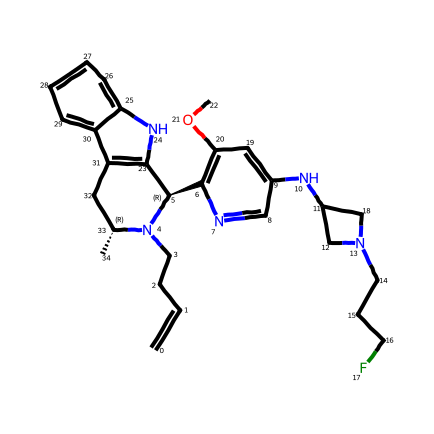 C=CCCN1[C@H](c2ncc(NC3CN(CCCF)C3)cc2OC)c2[nH]c3ccccc3c2C[C@H]1C